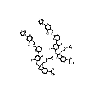 O=C(O)c1ccc2nc(Cc3cc(F)c(-c4cccc(OCc5cnc(-n6ccnn6)cc5Cl)n4)cc3F)n(CCOC3CC3)c2c1.O=C(O)c1ccc2nc(Cc3cc(F)c(-c4cccc(OCc5cnc(-n6ccnn6)cc5Cl)n4)cc3F)n(CCOC3CC3)c2c1